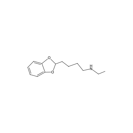 CCNCCCCC1Oc2ccccc2O1